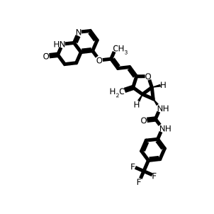 C=C1/C(=C\C=C(/C)Oc2ccnc3c2CCC(=O)N3)O[C@@H]2[C@@H](NC(=O)Nc3ccc(C(F)(F)F)cc3)[C@H]12